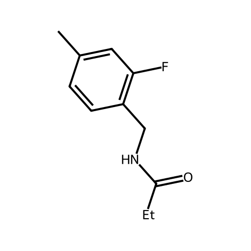 CCC(=O)NCc1ccc(C)cc1F